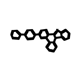 c1ccc(-c2ccc(-c3ccc4c(c3)c3ccccc3n3c5ccccc5nc43)cc2)cc1